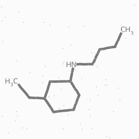 CCCCNC1CCCC(CC)C1